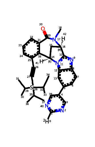 [2H]c1ncc(-c2ccc3nc4n(c3c2)[C@@H]2C[C@H]4N(C)C(=O)c3cccc(C#C[Si](C(C)C)(C(C)C)C(C)C)c32)cn1